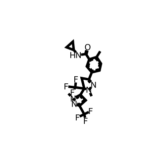 Cc1ccc(C2=NN(C)C(c3cc(C(F)(F)F)nn3C)(C(F)(F)F)C2)cc1C(=O)NC1CC1